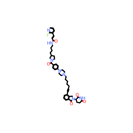 O=C(/C=C/c1cccnc1F)NCCCCC1CCN(C(=O)c2ccc(N3CCN(CCCCCC#Cc4cccc5c4CN(C4CCC(=O)NC4=O)C5=O)CC3)cc2)C1